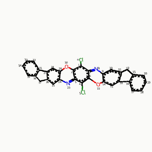 Clc1c2c(c(Cl)c3c1=Nc1cc4c(cc1O3)-c1ccccc1C4)=Nc1cc3c(cc1O2)-c1ccccc1C3